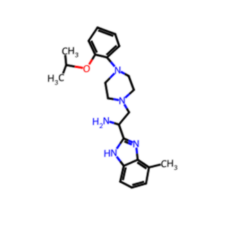 Cc1cccc2[nH]c(C(N)CN3CCN(c4ccccc4OC(C)C)CC3)nc12